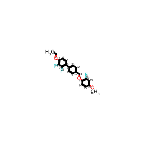 CCOc1ccc(-c2ccc(COc3ccc(OC)cc3F)cc2)c(F)c1F